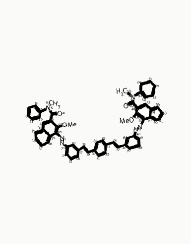 COc1c(C(=O)N(C)c2ccccc2)cc2ccccc2c1N=Nc1cccc(C=Cc2ccc(C=Cc3cccc(N=Nc4c(OC)c(C(=O)N(C)c5ccccc5)cc5ccccc45)c3)cc2)c1